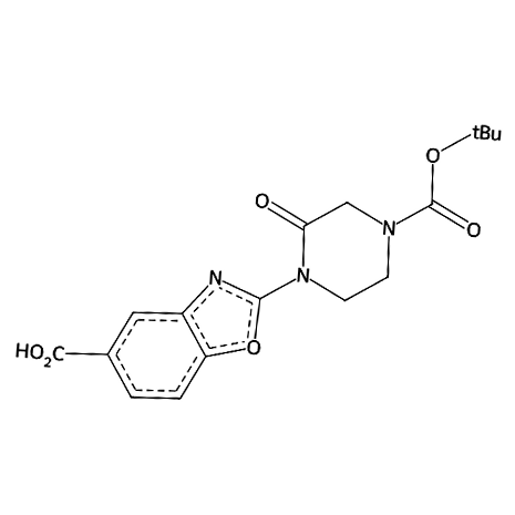 CC(C)(C)OC(=O)N1CCN(c2nc3cc(C(=O)O)ccc3o2)C(=O)C1